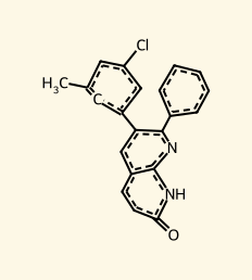 Cc1cc(Cl)cc(-c2cc3ccc(=O)[nH]c3nc2-c2ccccc2)c1